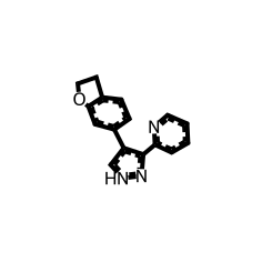 c1ccc(-c2n[nH]cc2-c2ccc3c(c2)OCC3)nc1